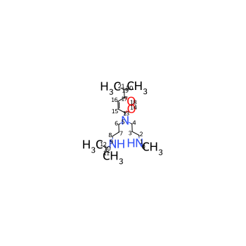 CNCCCN(CCCNC(C)C)C(=O)/C=C\C(=O)C(C)C